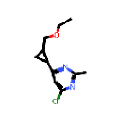 CCOCC1CC1c1cc(Cl)nc(C)n1